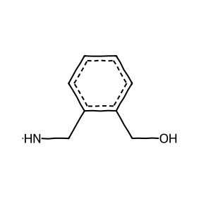 [NH]Cc1ccccc1CO